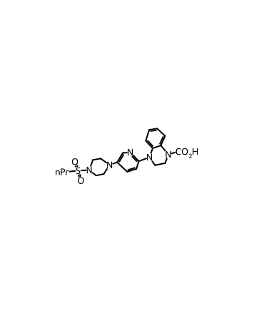 CCCS(=O)(=O)N1CCN(c2ccc(N3CCN(C(=O)O)c4ccccc43)nc2)CC1